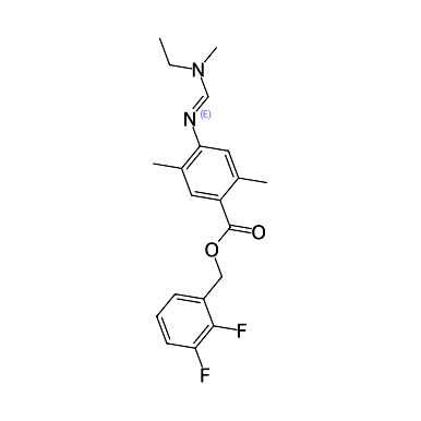 CCN(C)/C=N/c1cc(C)c(C(=O)OCc2cccc(F)c2F)cc1C